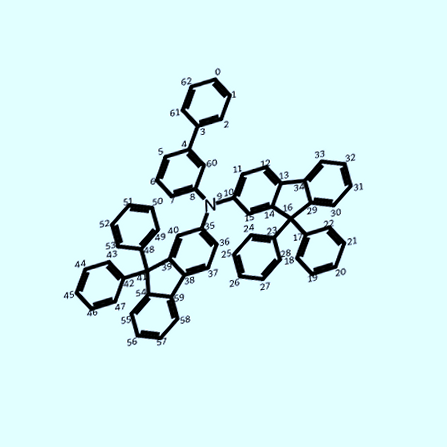 c1ccc(-c2cccc(N(c3ccc4c(c3)C(c3ccccc3)(c3ccccc3)c3ccccc3-4)c3ccc4c(c3)C(c3ccccc3)(c3ccccc3)c3ccccc3-4)c2)cc1